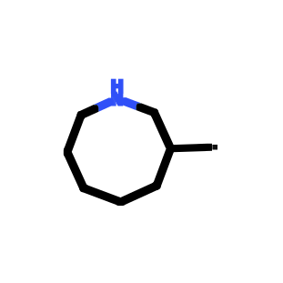 [CH2]C1CCCCCNC1